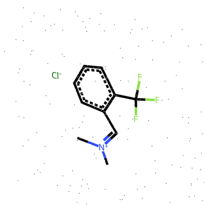 C[N+](C)=Cc1ccccc1C(F)(F)F.[Cl-]